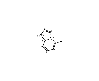 CC1=CC=CC2NC=CN12